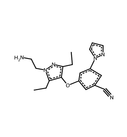 CCc1nn(CCN)c(CC)c1Oc1cc(C#N)cc(-n2cccn2)c1